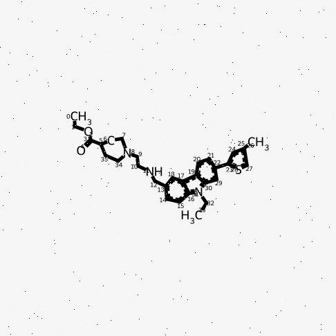 CCOC(=O)C1CCN(CCNCc2ccc3c(c2)c2ccc(-c4cc(C)cs4)cc2n3CC)CC1